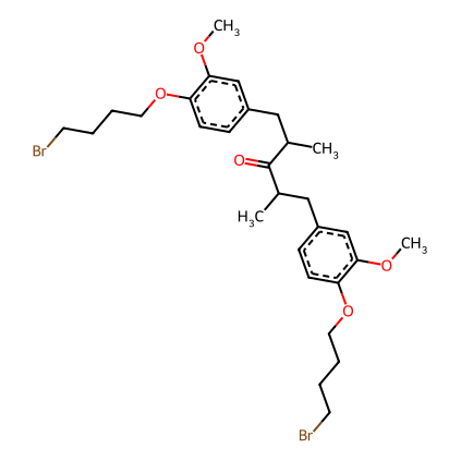 COc1cc(CC(C)C(=O)C(C)Cc2ccc(OCCCCBr)c(OC)c2)ccc1OCCCCBr